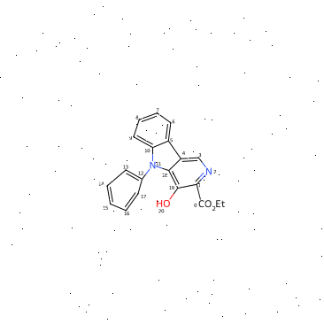 CCOC(=O)c1ncc2c3ccccc3n(-c3ccccc3)c2c1O